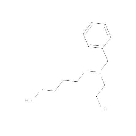 CCC[SiH](Cc1ccccc1)OCCCOC